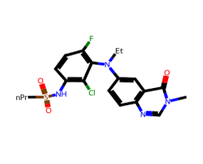 CCCS(=O)(=O)Nc1ccc(F)c(N(CC)c2ccc3ncn(C)c(=O)c3c2)c1Cl